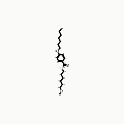 CCCCCCCOc1ccc(C(=O)OCCCCCCOC)cc1